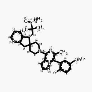 COc1ccc(F)c(-c2c(C)nc(N3CCC4(CC3)Cc3ncccc3[C@H]4CC(C)(C)[S+](N)[O-])c3ccnn23)c1